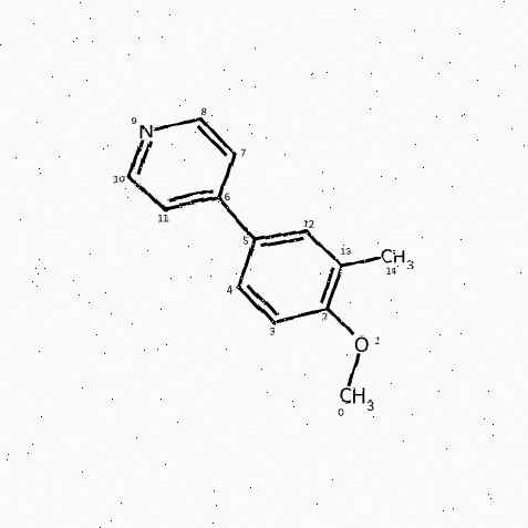 COc1ccc(-c2ccncc2)cc1C